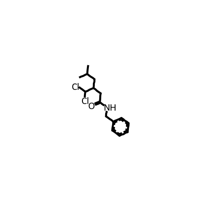 CC(C)CC(CC(=O)NCc1ccccc1)C(Cl)Cl